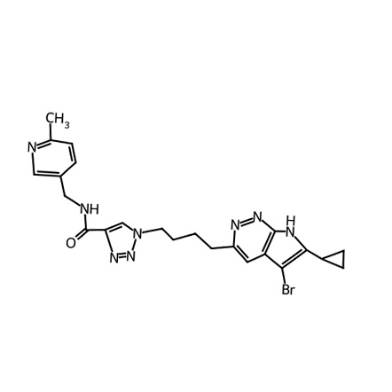 Cc1ccc(CNC(=O)c2cn(CCCCc3cc4c(Br)c(C5CC5)[nH]c4nn3)nn2)cn1